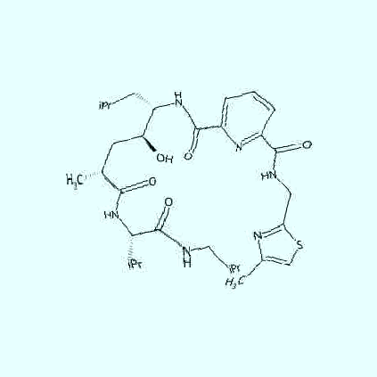 Cc1csc(CNC(=O)c2cccc(C(=O)N[C@@H](CC(C)C)[C@@H](O)C[C@@H](C)C(=O)N[C@H](C(=O)NCC(C)C)C(C)C)n2)n1